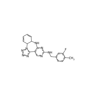 Cc1ccc(CNc2ncc3c(n2)NC2C=CC=CC2n2nnnc2-3)cc1F